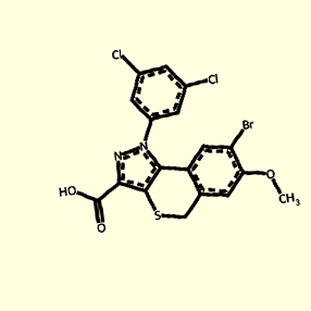 COc1cc2c(cc1Br)-c1c(c(C(=O)O)nn1-c1cc(Cl)cc(Cl)c1)SC2